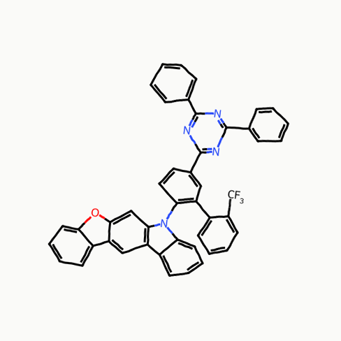 FC(F)(F)c1ccccc1-c1cc(-c2nc(-c3ccccc3)nc(-c3ccccc3)n2)ccc1-n1c2ccccc2c2cc3c(cc21)oc1ccccc13